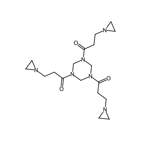 O=C(CCN1CC1)N1CN(C(=O)CCN2CC2)CN(C(=O)CCN2CC2)C1